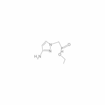 CCO[PH](=O)Cn1ccc(N)n1